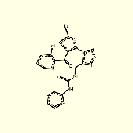 CCc1cc(C(=O)c2ccccc2Cl)c(-n2cnnc2CNC(=O)Nc2ccccc2)s1